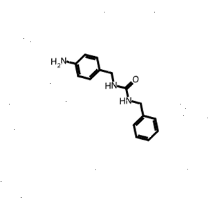 Nc1ccc(CNC(=O)NCc2ccccc2)cc1